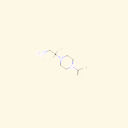 CC(C)N1CCN(C(C)(C)CN)CC1